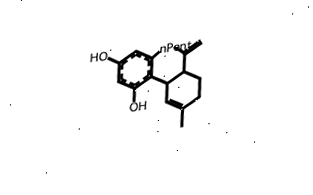 C=C(C)C1CCC(C)=CC1c1c(O)cc(O)cc1CCCCC